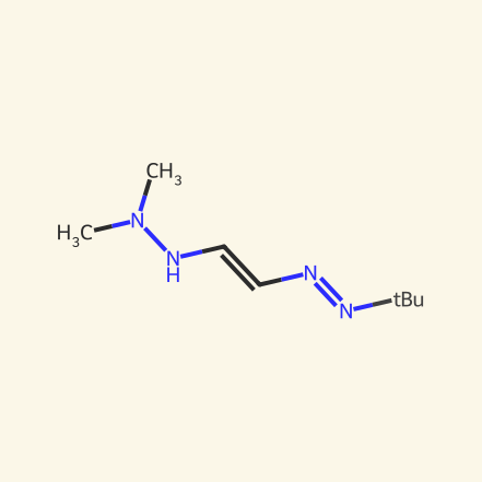 CN(C)NC=CN=NC(C)(C)C